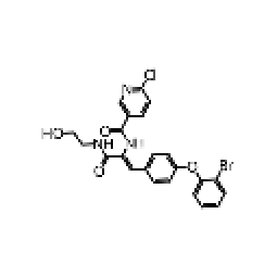 O=C(NCCO)C(=Cc1ccc(Oc2ccccc2Br)cc1)NC(=O)c1ccc(Cl)nc1